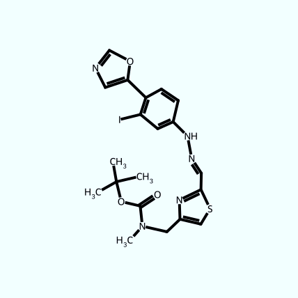 CN(Cc1csc(/C=N/Nc2ccc(-c3cnco3)c(I)c2)n1)C(=O)OC(C)(C)C